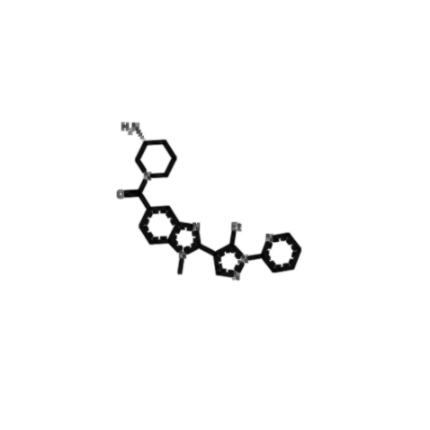 CCc1c(-c2nc3cc(C(=O)N4CCC[C@@H](N)C4)ccc3n2C)cnn1-c1ccccn1